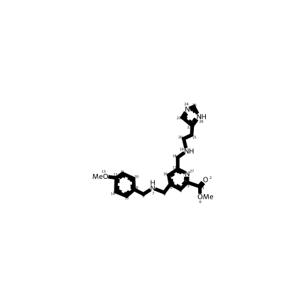 COC(=O)c1cc(CNCc2ccc(OC)cc2)cc(CNCCc2cnc[nH]2)n1